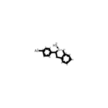 CC(=O)c1ccc(C(Cc2ccccc2C)SS)cc1